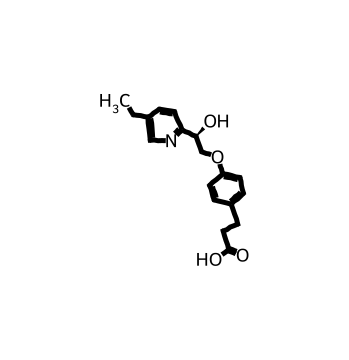 CCc1ccc([C@@H](O)COc2ccc(CCC(=O)O)cc2)nc1